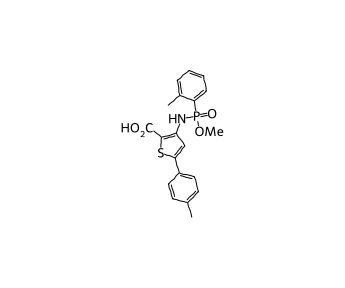 COP(=O)(Nc1cc(-c2ccc(C)cc2)sc1C(=O)O)c1ccccc1C